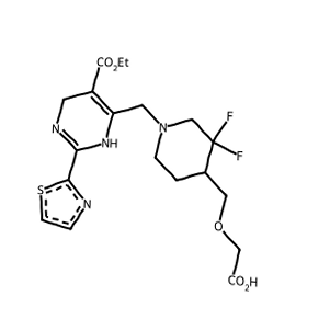 CCOC(=O)C1=C(CN2CCC(COCC(=O)O)C(F)(F)C2)NC(c2nccs2)=NC1